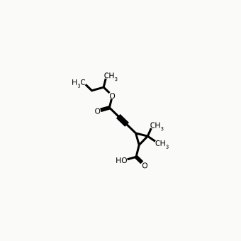 CCC(C)OC(=O)C#CC1C(C(=O)O)C1(C)C